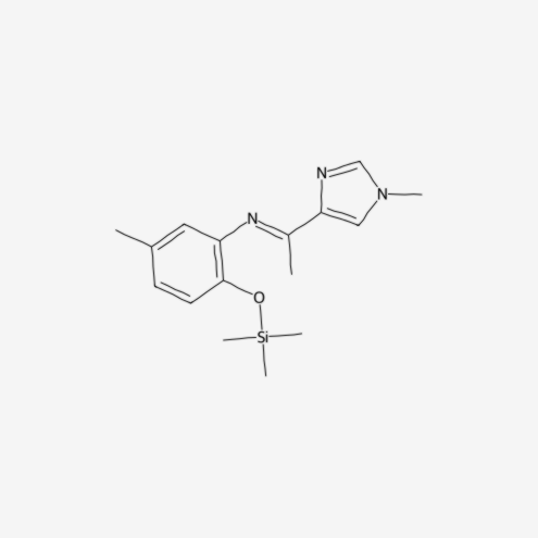 CC(=Nc1cc(C)ccc1O[Si](C)(C)C)c1cn(C)cn1